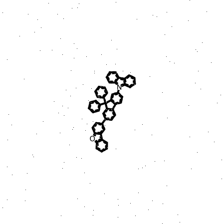 c1ccc(C2(c3ccccc3)c3cc(-c4ccc5oc6ccccc6c5c4)ccc3-c3ccc(-n4c5ccccc5c5ccccc54)cc32)cc1